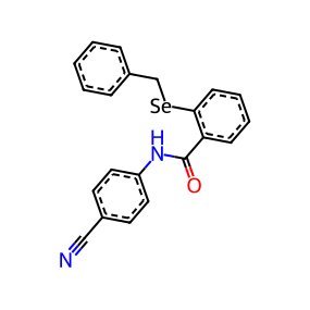 N#Cc1ccc(NC(=O)c2ccccc2[Se]Cc2ccccc2)cc1